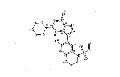 C=CS(=O)(=O)N1CCOc2cc(F)c(-c3csc4c(=O)cc(N5CCOCC5)oc34)cc21